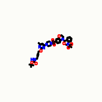 Cc1cc(N2CCN(S(=O)(=O)c3ccc4c(c3)OCCN4C(=O)c3ccccc3N(C)S(C)(=O)=O)CC2)nc(OCC#CCNC(=O)OC(C)(C)C)n1